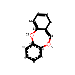 C1=CCC2=COc3ccccc3OC2=C1